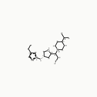 CCc1cnn(C[C@@H]2COC(C(CF)N3CCC(C(C)C)CC3)C2)c1